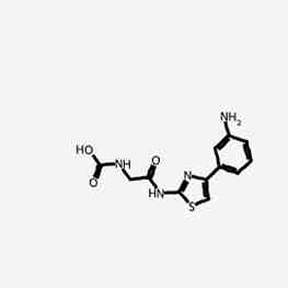 Nc1cccc(-c2csc(NC(=O)CNC(=O)O)n2)c1